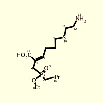 CCOP(=O)(CC(=CCCCSCCN)C(=O)O)CC(C)C